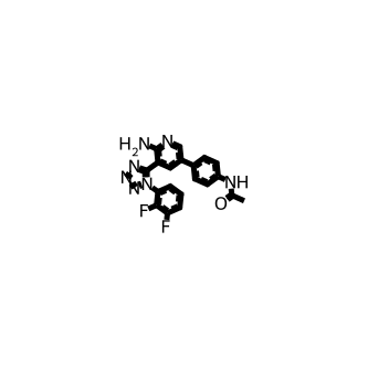 CC(=O)Nc1ccc(-c2cnc(N)c(-c3nnnn3-c3cccc(F)c3F)c2)cc1